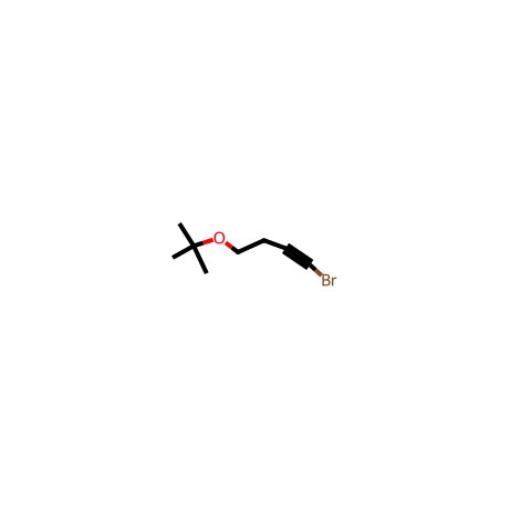 CC(C)(C)OCCC#CBr